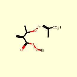 C=C(C(=O)OOCC)C(C)OCC.C=C(C)C(=O)O